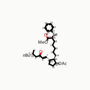 CCCC[C@H](C)CC(=O)C=C[C@H]1CC[C@H](OC(C)=O)[C@@H]1CCCCCC([Se]c1ccccc1)C(=O)OC